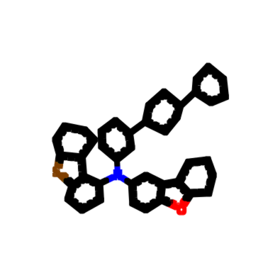 c1ccc(-c2ccc(-c3cccc(N(c4ccc5oc6ccccc6c5c4)c4cccc5sc6ccccc6c45)c3)cc2)cc1